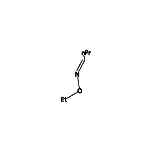 [CH2]CCC=NOCC